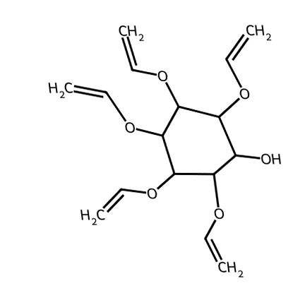 C=COC1C(O)C(OC=C)C(OC=C)C(OC=C)C1OC=C